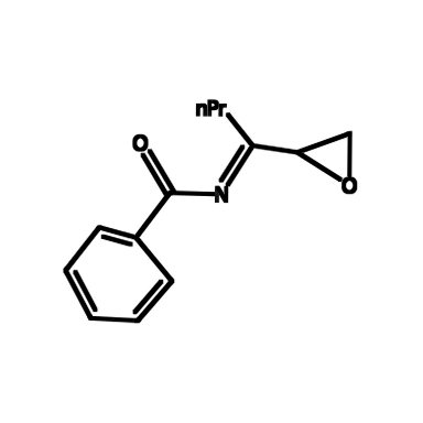 CCC/C(=N\C(=O)c1ccccc1)C1CO1